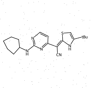 CC(C)(C)C1=CSC(=C(C#N)c2ccnc(NC3CCCCC3)n2)N1